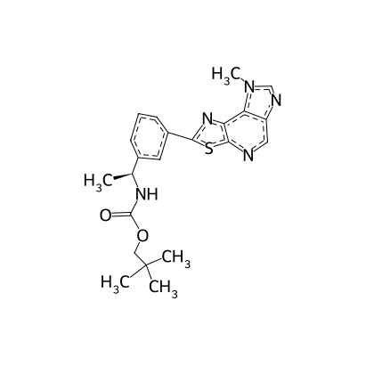 C[C@H](NC(=O)OCC(C)(C)C)c1cccc(-c2nc3c(ncc4ncn(C)c43)s2)c1